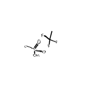 CC(F)(F)F.O=S(=O)(O)Cl